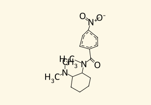 CN(C)C1CCCCC1N(C)C(=O)c1ccc([N+](=O)[O-])cc1